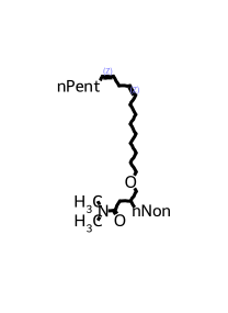 CCCCC/C=C\C/C=C\CCCCCCCCOCC(CCCCCCCCC)CC(=O)N(C)C